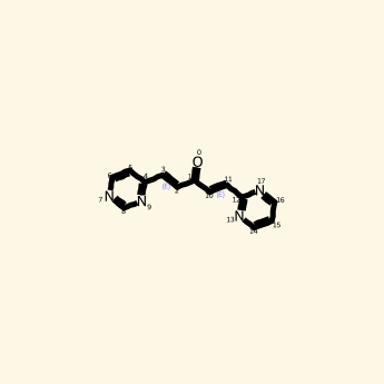 O=C(/C=C/c1ccncn1)/C=C/c1ncccn1